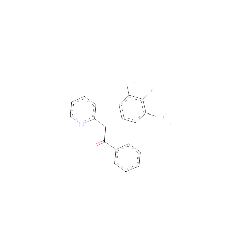 Cc1c(C(=O)O)cccc1C(=O)O.O=C(Cc1ccccn1)c1ccccc1